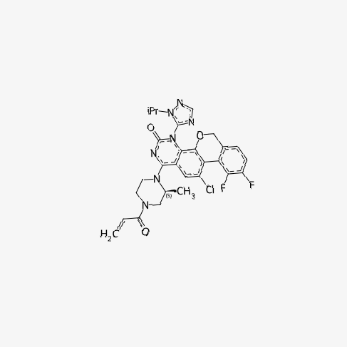 C=CC(=O)N1CCN(c2nc(=O)n(-c3ncnn3C(C)C)c3c4c(c(Cl)cc23)-c2c(ccc(F)c2F)CO4)[C@@H](C)C1